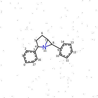 c1ccc(C2CCC3C(c4ccccc4)N23)cc1